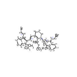 CC1(C)C(/C=C/C2=C(NCC(=O)O)C(=C/C=C3/N(/C=C/Br)c4ccccc4C3(C)C)/CCC2)=[N+](/C=C/Br)c2ccccc21